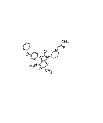 CC(F)=CN1CCCC(n2c(=O)n(-c3ccc(Oc4ccccc4)cc3)c3c(N)nc(N)nc32)C1